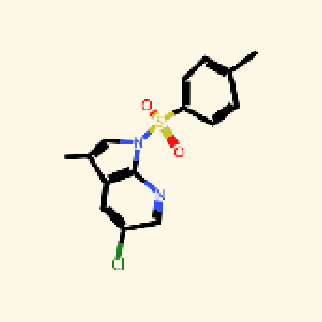 Cc1ccc(S(=O)(=O)n2cc(C)c3cc(Cl)cnc32)cc1